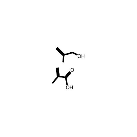 C=C(C)C(=O)O.C=C(C)CO